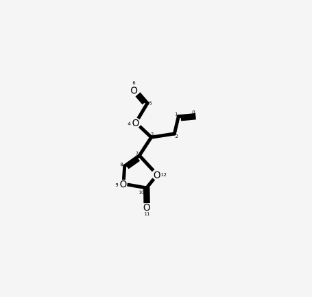 C=CCC(O[C]=O)c1coc(=O)o1